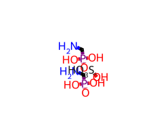 NCP(=O)(O)O.NCP(=O)(O)O.O=S(=O)(O)O